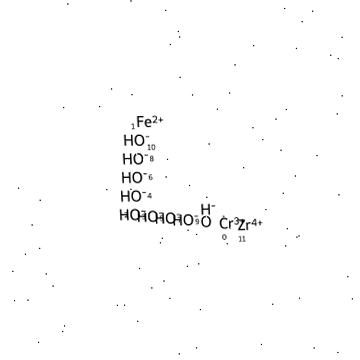 [Cr+3].[Fe+2].[OH-].[OH-].[OH-].[OH-].[OH-].[OH-].[OH-].[OH-].[OH-].[Zr+4]